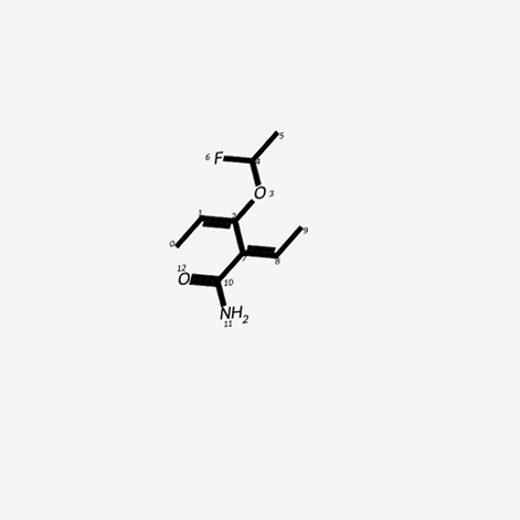 C/C=C(OC(C)F)\C(=C/C)C(N)=O